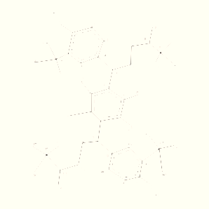 Cc1c(C)c(C(CCC(C)C(C)(C)C)c2ccc(O)c(C(C)(C)C)c2)c(C)c(C)c1C(CCC(C)C(C)(C)C)c1ccc(O)c(C(C)(C)C)c1